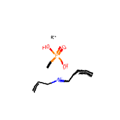 C=CC[N-]CC=C.CP(=O)(O)O.[K+]